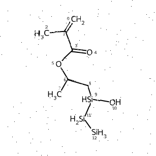 C=C(C)C(=O)OC(C)C[SiH](O)[SiH2][SiH3]